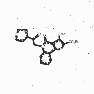 CCOC(=O)c1sc2c(c1OC)c(=O)n(CC(=O)c1ccccc1)c1ccccc21